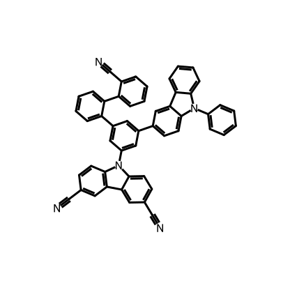 N#Cc1ccc2c(c1)c1cc(C#N)ccc1n2-c1cc(-c2ccc3c(c2)c2ccccc2n3-c2ccccc2)cc(-c2ccccc2-c2ccccc2C#N)c1